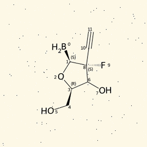 B[C@@H]1O[C@H](CO)C(O)[C@]1(F)C#C